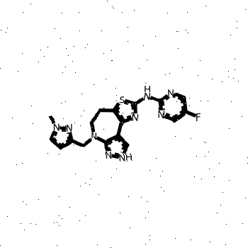 Cn1ccc(CN2CCc3sc(Nc4ncc(F)cn4)nc3-c3c[nH]nc32)n1